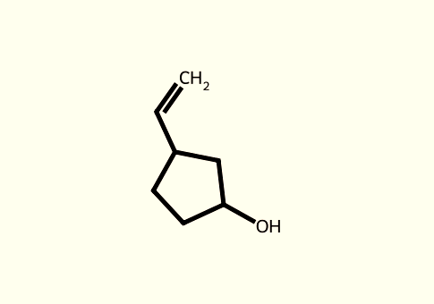 C=CC1CCC(O)C1